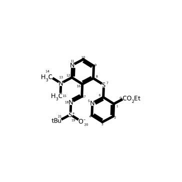 CCOC(=O)c1cccnc1Sc1ccnc(N(C)C)c1C=N[S+]([O-])C(C)(C)C